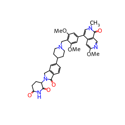 COc1cc2c(-c3cc(OC)c(CN4CCC(c5ccc6c(c5)CN(C5CCC(=O)NC5=O)C6=O)CC4)c(OC)c3)cn(C)c(=O)c2cn1